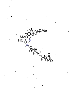 COCCOCOc1c(C/C=C(\C)CC(C/C(C)=C/COC(=O)NCCNC(=O)CCCc2nc3c(=O)n(C)c(=O)n(C)c3[nH]2)C(=O)O)c(OC)c(C)c(C)c1C(=O)OC